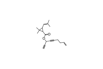 C#CC(C#CCCC=C)OC(=O)C1C(C=C(C)C)C1(C)C